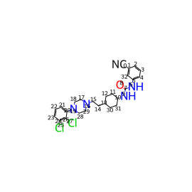 N#Cc1cccc(NC(=O)N[C@H]2CC[C@H](CCN3CCN(c4cccc(Cl)c4Cl)CC3)CC2)c1